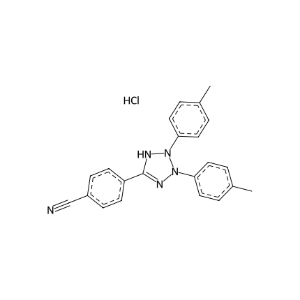 Cc1ccc(N2N=C(c3ccc(C#N)cc3)NN2c2ccc(C)cc2)cc1.Cl